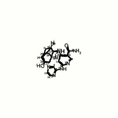 NC(=O)c1cnc(Nc2cnccn2)cc1NC1[C@@H]2CC3C[C@H]1CC(O)(C3)C2